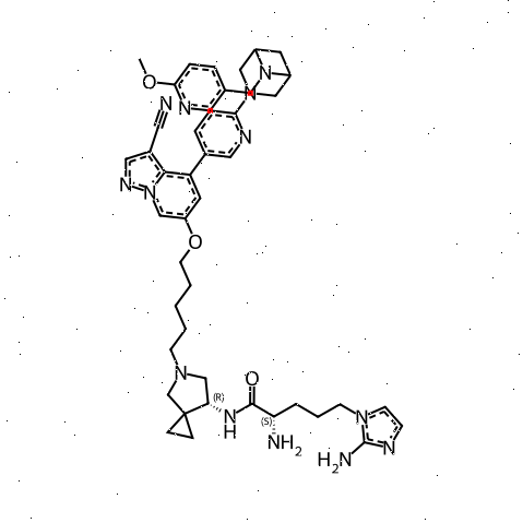 COc1ccc(CN2C3CC2CN(c2ccc(-c4cc(OCCCCCN5C[C@H](NC(=O)[C@@H](N)CCCn6ccnc6N)C6(CC6)C5)cn5ncc(C#N)c45)cn2)C3)cn1